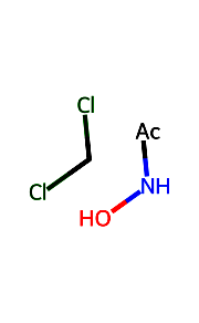 CC(=O)NO.ClCCl